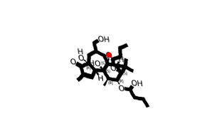 CCCC(=O)O[C@@]12[C@H](OC(O)CCC)[C@@H](C)[C@@]3(O)[C@@H](CC(CO)C[C@]4(O)C(=O)C(C)=C[C@@H]34)[C@@H]1C2(C)C